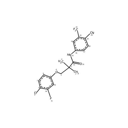 CC(C)(COc1ccc(Cl)c(F)c1)C(=O)Nc1ccc(C#N)c(C(F)(F)F)c1